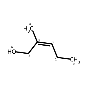 CCC=C(C)CO